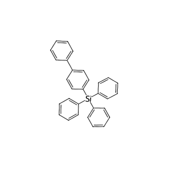 c1ccc(-c2ccc([Si](c3ccccc3)(c3ccccc3)c3ccccc3)cc2)cc1